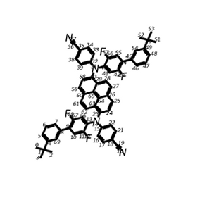 CC(C)(C)c1cccc(-c2cc(F)c(N(c3ccc(C#N)cc3)c3ccc4ccc5c(N(c6ccc(C#N)cc6)c6cc(F)c(-c7cccc(C(C)(C)C)c7)cc6F)ccc6ccc3c4c65)cc2F)c1